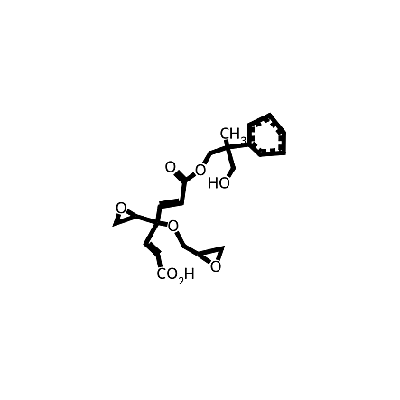 CC(CO)(COC(=O)C=CC(C=CC(=O)O)(OCC1CO1)C1CO1)c1ccccc1